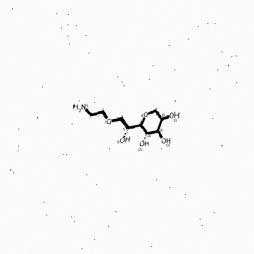 NCCOC[C@@H](O)C1OCC(O)C(O)[C@@H]1O